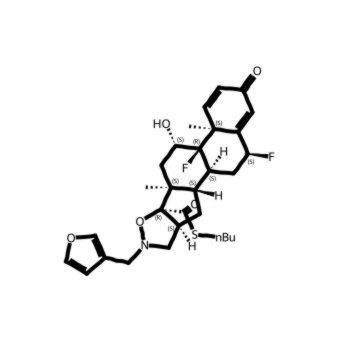 CCCCSC(=O)[C@@]12ON(Cc3ccoc3)C[C@@H]1C[C@H]1[C@@H]3C[C@H](F)C4=CC(=O)C=C[C@]4(C)[C@@]3(F)[C@@H](O)C[C@@]12C